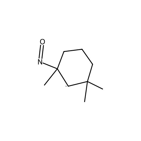 CC1(C)[CH]C(C)(N=O)CCC1